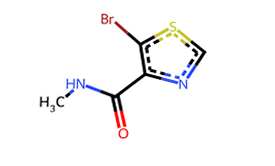 CNC(=O)c1ncsc1Br